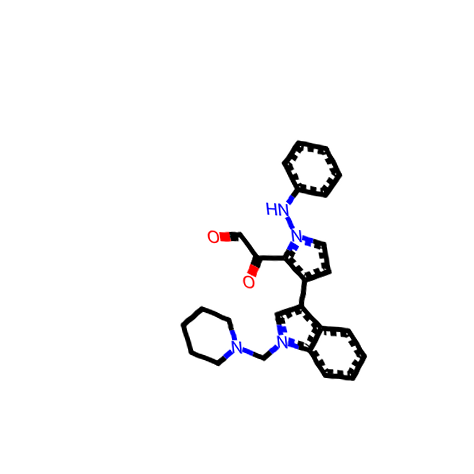 O=CC(=O)c1c(-c2cn(CN3CCCCC3)c3ccccc23)ccn1Nc1ccccc1